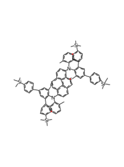 Cc1cccc(C)c1N(c1c(F)cc(-c2ccc([Si](C)(C)C)cc2)cc1-c1ccc([Si](C)(C)C)cc1)c1ccc2ccc3c(N(c4c(C)cccc4C)c4c(F)cc(-c5ccc([Si](C)(C)C)cc5)cc4-c4ccc([Si](C)(C)C)cc4)ccc4ccc1c2c43